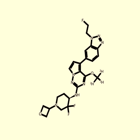 [2H]C([2H])([2H])Oc1nc(N[C@@H]2CCN(C3COC3)CC2(F)F)nn2ccc(-c3ccc4nnn(CCF)c4c3)c12